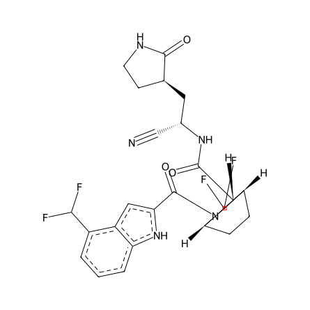 N#C[C@H](C[C@H]1CCNC1=O)NC(=O)[C@@H]1[C@@H]2CC[C@@H](CC2(F)F)N1C(=O)c1cc2c(C(F)F)cccc2[nH]1